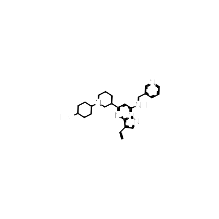 C=Cc1cnn2c(NCc3cccnc3)cc(C3CCCN(C4CCC(C(F)(F)F)CC4)C3)nc12